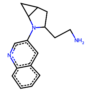 NCCC1CC2CC2N1c1cnc2ccccc2c1